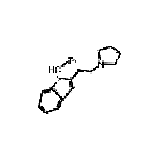 CC(C)O.c1ccc2sc(CCN3CCCC3)cc2c1